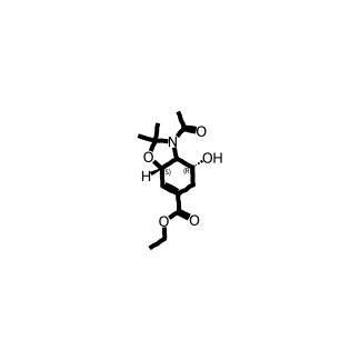 CCOC(=O)C1=C[C@@H]2OC(C)(C)N(C(C)=O)C2[C@H](O)C1